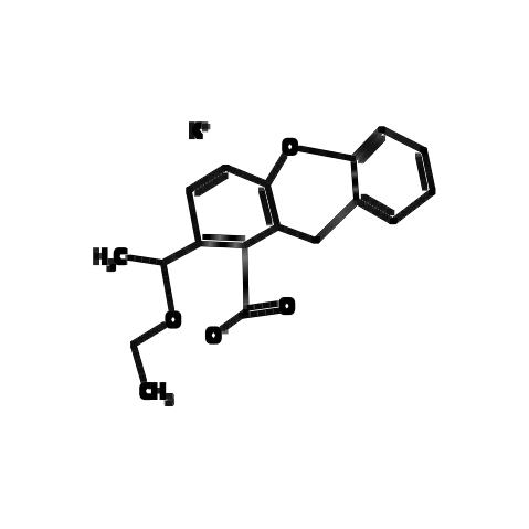 CCOC(C)c1ccc2c(c1C(=O)[O-])Cc1ccccc1O2.[K+]